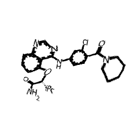 CC(C)[C@@H](Oc1cccc2ncnc(Nc3ccc(C(=O)N4CCCCC4)c(Cl)c3)c12)C(N)=O